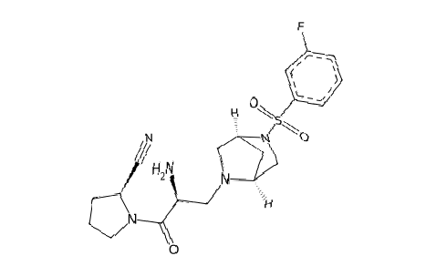 N#C[C@@H]1CCCN1C(=O)[C@@H](N)CN1C[C@@H]2C[C@H]1CN2S(=O)(=O)c1cccc(F)c1